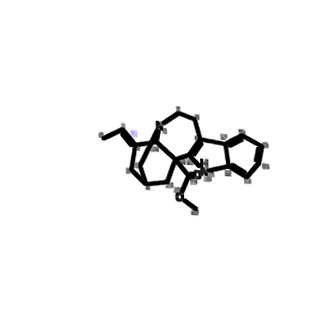 C/C=C1\CC2CN3CCc4c([nH]c5ccccc45)C(C(=O)OC)(C2)C13